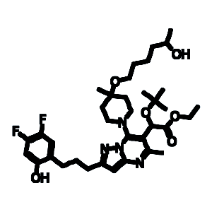 CCOC(=O)C(OC(C)(C)C)c1c(C)nc2cc(CCCc3cc(F)c(F)cc3O)nn2c1N1CCC(C)(OCCCCC(C)O)CC1